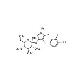 CC(=O)OC[C@H]1O[C@@](O)(Oc2nn(C(C)C)c(C)c2Cc2ccc(O)c(F)c2)[C@H](OC(C)=O)[C@@H](OC(C)=O)[C@@H]1OC(C)=O